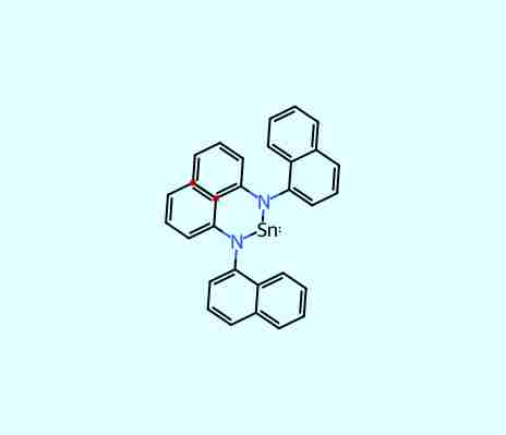 c1ccc([N]([Sn][N](c2ccccc2)c2cccc3ccccc23)c2cccc3ccccc23)cc1